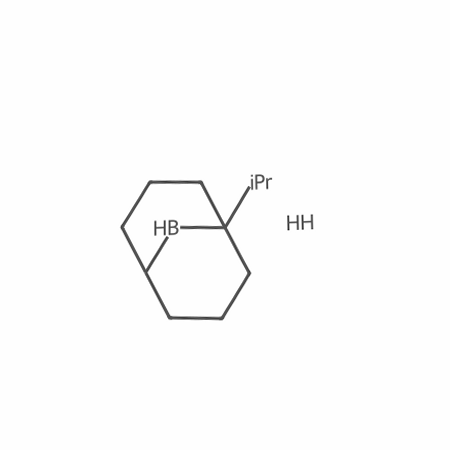 CC(C)C12BC(CCC1)CCC2.[HH]